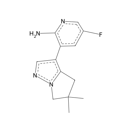 CC1(C)Cc2c(-c3cc(F)cnc3N)cnn2C1